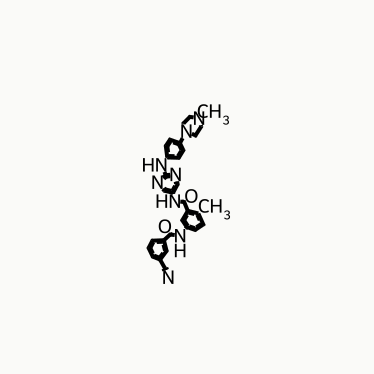 Cc1ccc(NC(=O)c2cccc(C#N)c2)cc1C(=O)Nc1cnc(Nc2ccc(N3CCN(C)CC3)cc2)nc1